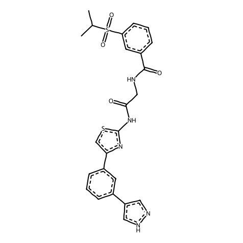 CC(C)S(=O)(=O)c1cccc(C(=O)NCC(=O)Nc2nc(-c3cccc(-c4cn[nH]c4)c3)cs2)c1